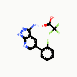 Nc1n[nH]c2ncc(-c3ccccc3F)cc12.O=C(O)C(F)(F)F